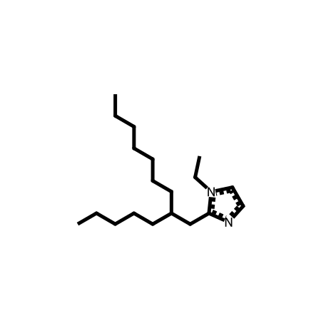 CCCCCCCC(CCCCC)Cc1nccn1CC